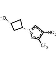 O=[N+]([O-])c1cn([C@H]2C[C@@H](O)C2)nc1C(F)(F)F